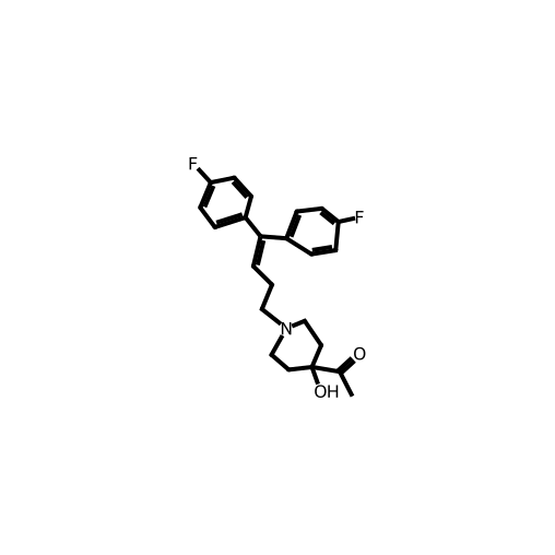 CC(=O)C1(O)CCN(CCC=C(c2ccc(F)cc2)c2ccc(F)cc2)CC1